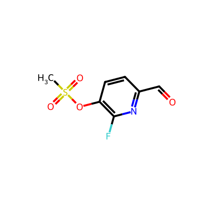 CS(=O)(=O)Oc1ccc(C=O)nc1F